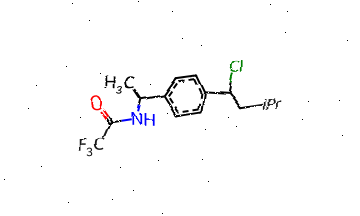 CC(C)CC(Cl)c1ccc(C(C)NC(=O)C(F)(F)F)cc1